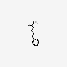 CC(=O)COCCc1ccccc1